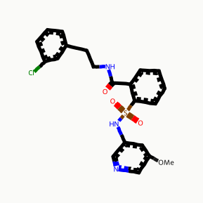 COc1cncc(NS(=O)(=O)c2ccccc2C(=O)NCCc2cccc(Cl)c2)c1